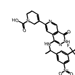 CC(Nc1n[nH]c(=O)c2cnc(C3=CCCN(C(=O)O)C3)cc12)c1cc([N+](=O)[O-])cc(C(F)(F)F)c1